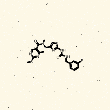 CSc1ncc(C(=O)N(C)Cc2csc(NC(=O)NCc3cccc(F)c3)n2)c(C)n1